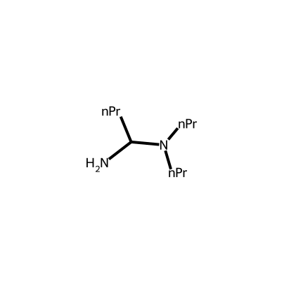 CCCC(N)N(CCC)CCC